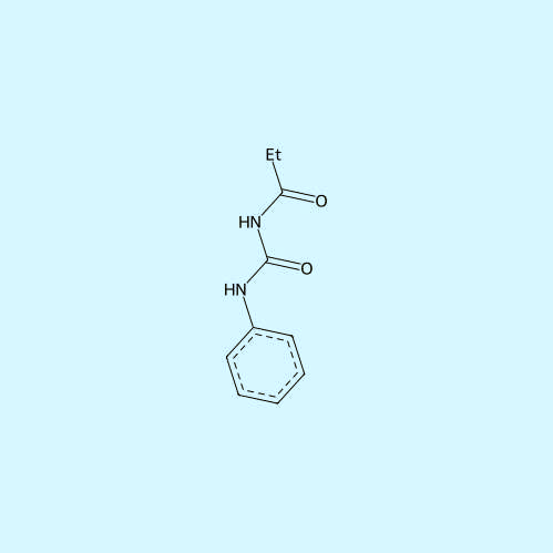 CCC(=O)NC(=O)Nc1ccccc1